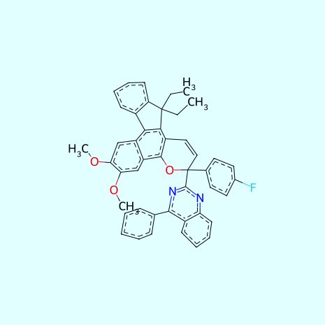 CCC1(CC)c2ccccc2-c2c1c1c(c3cc(OC)c(OC)cc23)OC(c2ccc(F)cc2)(c2nc(-c3ccccc3)c3ccccc3n2)C=C1